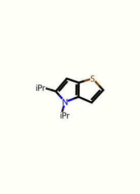 CC(C)c1cc2sccc2n1C(C)C